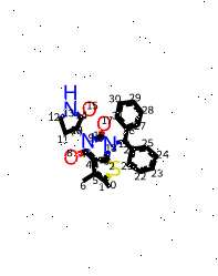 Cc1sc2c(c1C)c(=O)n([C@@H]1CCNC1=O)c(=O)n2C(c1ccccc1)c1ccccc1